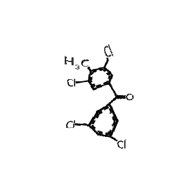 Cc1c(Cl)cc(C(=O)c2cc(Cl)cc(Cl)c2)cc1Cl